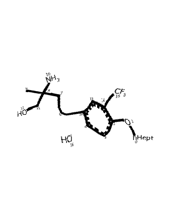 CCCCCCCOc1ccc(CCC(C)(N)CO)cc1C(F)(F)F.Cl